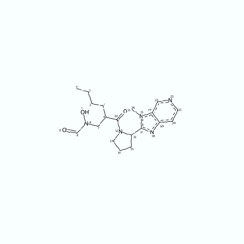 CCCCC(CN(O)C=O)C(=O)N1CCCC1c1nc2ccncc2n1C